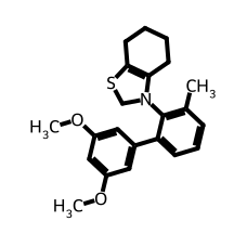 COc1cc(OC)cc(-c2cccc(C)c2N2CSC3=C2CCCC3)c1